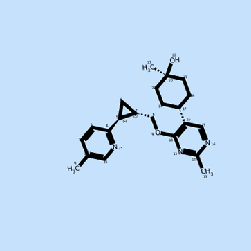 Cc1ccc([C@H]2C[C@@H]2COc2nc(C)ncc2[C@H]2CC[C@](C)(O)CC2)nc1